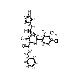 COc1c(Cl)ccc(-c2nc(NCc3cn[nH]c3)c(Cl)c(C(=O)OCc3ccccc3)n2)c1F